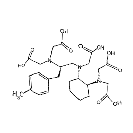 Cc1ccc(C[C@H](CN(CC(=O)O)[C@H]2CCCC[C@@H]2N(CC(=O)O)CC(=O)O)N(CC(=O)O)CC(=O)O)cc1